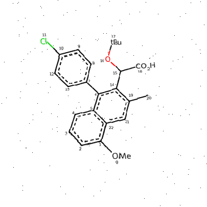 COc1cccc2c(-c3ccc(Cl)cc3)c(C(OC(C)(C)C)C(=O)O)c(C)cc12